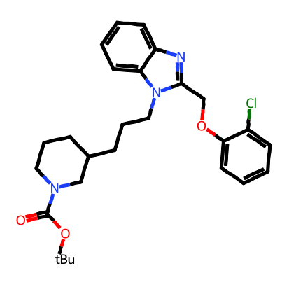 CC(C)(C)OC(=O)N1CCCC(CCCn2c(COc3ccccc3Cl)nc3ccccc32)C1